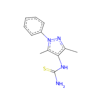 Cc1nn(-c2ccccc2)c(C)c1NC(N)=S